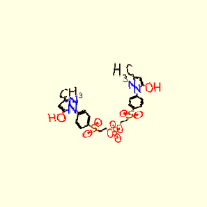 Cc1cc(O)n(-c2ccc(S(=O)(=O)CCOS(=O)(=O)OCCS(=O)(=O)c3ccc(-n4nc(C)cc4O)cc3)cc2)n1